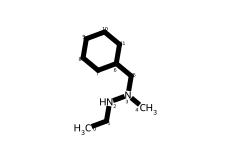 CCNN(C)CC1CCCCC1